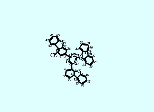 Clc1cc(-c2nc(C3=CC=CC4c5ccccc5SC34)nc(-n3c4ccccc4c4ccccc43)n2)cc2sc3ccccc3c12